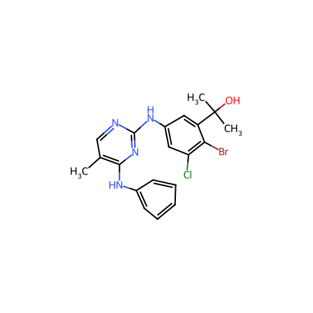 Cc1cnc(Nc2cc(Cl)c(Br)c(C(C)(C)O)c2)nc1Nc1ccccc1